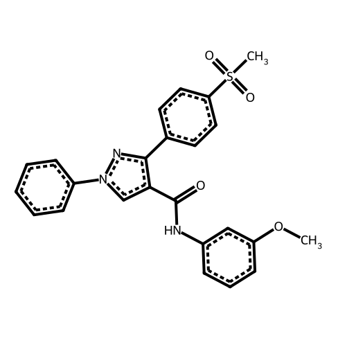 COc1cccc(NC(=O)c2cn(-c3ccccc3)nc2-c2ccc(S(C)(=O)=O)cc2)c1